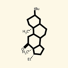 CC[C@H]1CCC2C3CCC4CC(C(C)(C)C)CC[C@]4(C)C3CC(=O)[C@@]21C